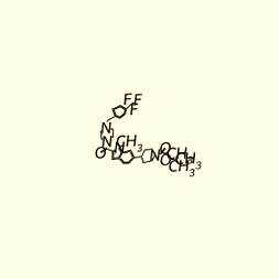 Cn1c(C(=O)N2CCN(Cc3ccc(C(F)(F)F)cc3)CC2)cc2ccc(C3CCN(C(=O)OC(C)(C)C)CC3)cc21